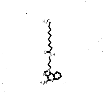 C=CCCCCCCCCC(=O)NCCCCn1cnc2c(N)nc3ccccc3c21